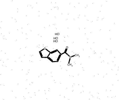 CN(C)C(=O)c1ccc2ccsc2c1.Cl.Cl.Cl